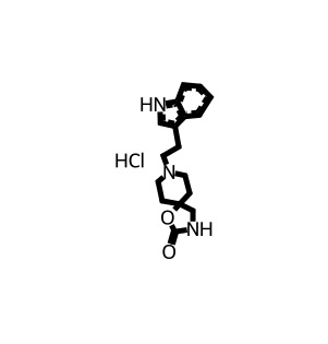 Cl.O=C1NCC2(CCN(CCc3c[nH]c4ccccc34)CC2)O1